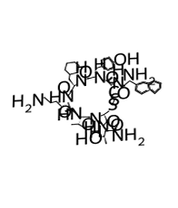 CC(C)[C@@H]1NC(=O)[C@H](CCCCN)NC(=O)[C@@H](CC2CCCCC2)NC(=O)[C@H](Cc2ccc(O)cc2)NC(=O)[C@@H](NC(=O)C(N)c2ccc3ccccc3c2)CSSC[C@@H](C(=O)N[C@H](C(N)=O)[C@@H](C)O)NC1=O